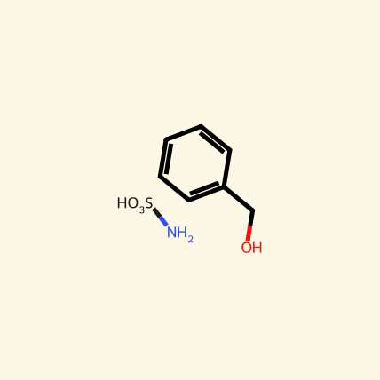 NS(=O)(=O)O.OCc1ccccc1